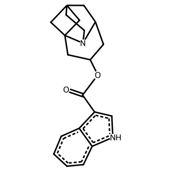 O=C(OC1CC2CC34CCN2C(C1)(C3)C4)c1c[nH]c2ccccc12